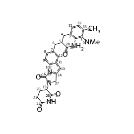 CNc1cc(CC(Cc2ccc3c(c2)cc2n3C(=O)N(C3CCC(=O)NC3=O)C2)C(N)=O)ccc1C